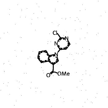 COC(=O)c1cn(-c2ccnc(Cl)n2)c2ccccc12